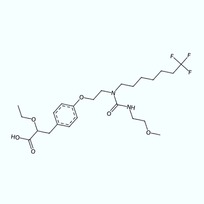 CCOC(Cc1ccc(OCCN(CCCCCCC(F)(F)F)C(=O)NCCOC)cc1)C(=O)O